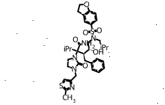 Cc1nc(CN2CCN(C(C(N)=O)(C(C)C)[C@H](Cc3ccccc3)[C@@H](O)CN(CC(C)C)S(=O)(=O)c3ccc4c(c3)CCO4)C2=O)cs1